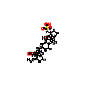 CC1(C)C2CCC1(CS(=O)(=O)O)C(=O)C2Cc1ccc(/C=C2\C3CCC(C)(C2O)C3(C)C)cc1